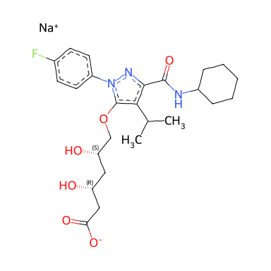 CC(C)c1c(C(=O)NC2CCCCC2)nn(-c2ccc(F)cc2)c1OC[C@@H](O)C[C@@H](O)CC(=O)[O-].[Na+]